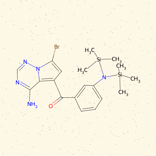 C[Si](C)(C)N(c1cccc(C(=O)c2cc(Br)n3ncnc(N)c23)c1)[Si](C)(C)C